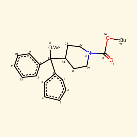 COC(c1ccccc1)(c1ccccc1)C1CCN(C(=O)OC(C)(C)C)CC1